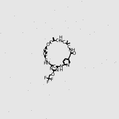 C=C1CNCC(C)(C)CNC(=O)c2ccc(nc2)Nc2cc(nc(OCC(F)(F)F)n2)NCc2ccc(cc2)OC1